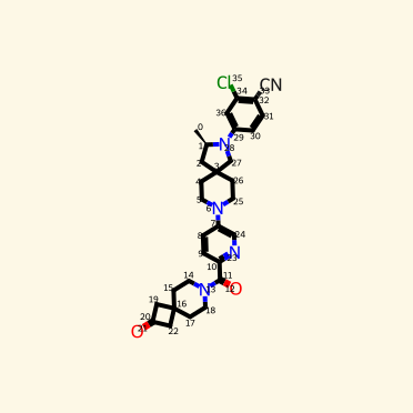 C[C@@H]1CC2(CCN(c3ccc(C(=O)N4CCC5(CC4)CC(=O)C5)nc3)CC2)CN1c1ccc(C#N)c(Cl)c1